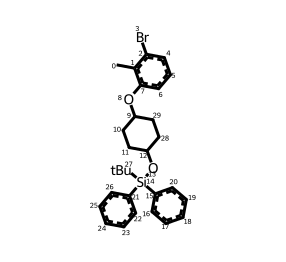 Cc1c(Br)cccc1OC1CCC(O[Si](c2ccccc2)(c2ccccc2)C(C)(C)C)CC1